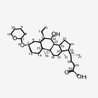 CC[C@@H]1C2C[C@H](OC3CCCCO3)CC[C@]2(C)C2CC[C@@]3(C)C(CCC3[C@H](C)CCC(=O)O)C2[C@@H]1O